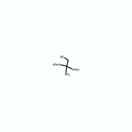 CCCCCCC(N)(CC#N)CCCCC